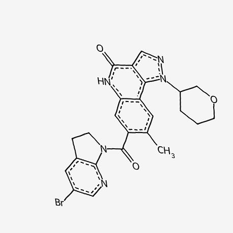 Cc1cc2c(cc1C(=O)N1CCc3cc(Br)cnc31)[nH]c(=O)c1cnn(C3CCCOC3)c12